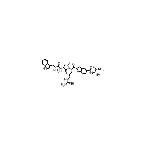 CC(C)[C@H](NC(=O)c1ccc2nc(C(=O)[C@H](CCCNC(=N)N)N3C(=O)[C@@H](NC(=O)[C@@H](N)CC4=CNC5C=CC=CC45)CC3C)sc2c1)C(N)=O